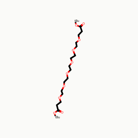 CC(C)(C)OC(=O)CCOCCOCCOCCOCCOCCOCCC(=O)OC(C)(C)C